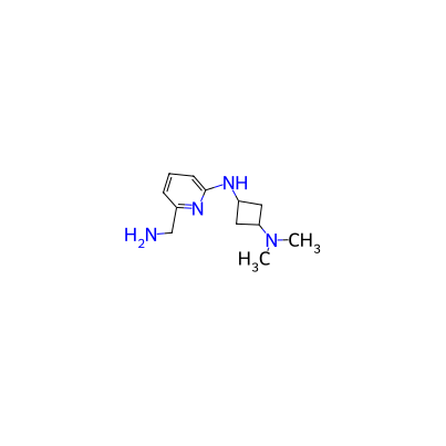 CN(C)C1CC(Nc2cccc(CN)n2)C1